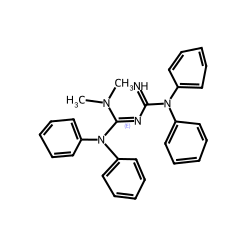 CN(C)/C(=N\C(=N)N(c1ccccc1)c1ccccc1)N(c1ccccc1)c1ccccc1